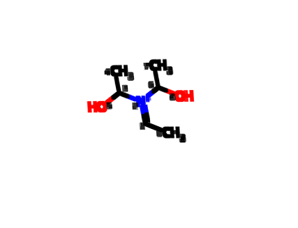 CC=[N+](C(C)O)C(C)O